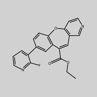 CCOC(=O)C1=Cc2cnccc2Oc2ccc(-c3cccnc3F)cc21